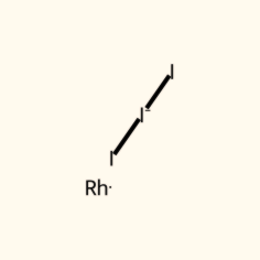 I[I-]I.[Rh]